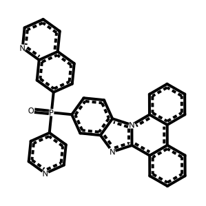 O=P(c1ccncc1)(c1ccc2cccnc2c1)c1ccc2c(c1)nc1c3ccccc3c3ccccc3n21